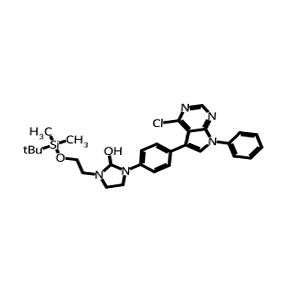 CC(C)(C)[Si](C)(C)OCCN1CCN(c2ccc(-c3cn(-c4ccccc4)c4ncnc(Cl)c34)cc2)C1O